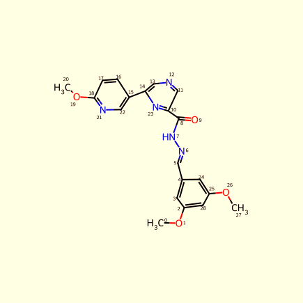 COc1cc(C=NNC(=O)c2cncc(-c3ccc(OC)nc3)n2)cc(OC)c1